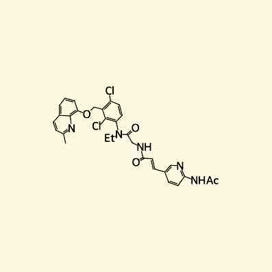 CCN(C(=O)CNC(=O)C=Cc1ccc(NC(C)=O)nc1)c1ccc(Cl)c(COc2cccc3ccc(C)nc23)c1Cl